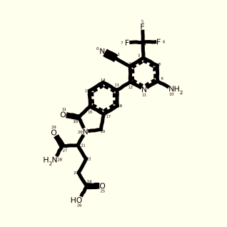 N#Cc1c(C(F)(F)F)cc(N)nc1-c1ccc2c(c1)CN(C(CCC(=O)O)C(N)=O)C2=O